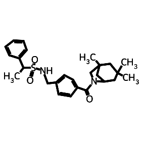 CC(c1ccccc1)S(=O)(=O)NCc1ccc(C(=O)N2CC3(C)CC2CC(C)(C)C3)cc1